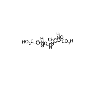 O=C(O)Cc1ccc(NC(=O)OCc2cn(-c3cc4cc(C(=O)O)c(=O)[nH]c4cc3Cl)cn2)cc1